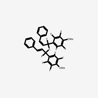 COc1c(F)c(F)c(C(F)(C=Cc2ccccc2)SC(F)(C=Cc2ccccc2)c2c(F)c(F)c(OC)c(F)c2F)c(F)c1F